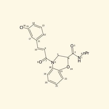 CCCNC(=O)C1CN(C(=O)/C=C/c2cccc(Cl)c2)c2ccccc2O1